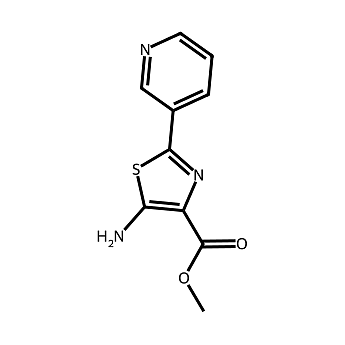 COC(=O)c1nc(-c2cccnc2)sc1N